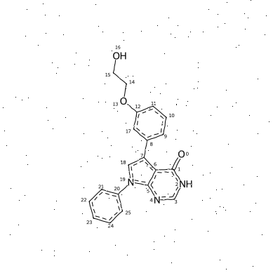 O=c1[nH]cnc2c1c(-c1cccc(OCCO)c1)cn2-c1ccccc1